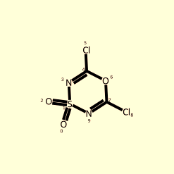 O=S1(=O)N=C(Cl)OC(Cl)=N1